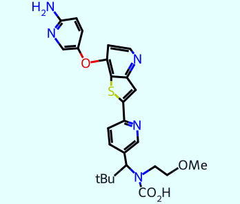 COCCN(C(=O)O)C(c1ccc(-c2cc3nccc(Oc4ccc(N)nc4)c3s2)nc1)C(C)(C)C